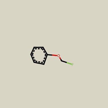 F[CH]Oc1ccccc1